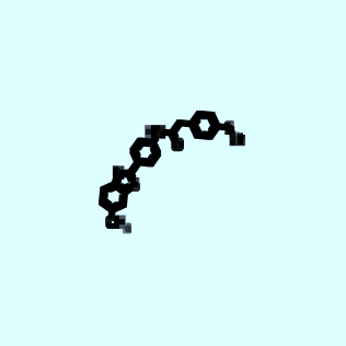 CCSc1ccc(CC(=O)Nc2ccc(-c3nc4ccc(C)cc4s3)cc2)cc1